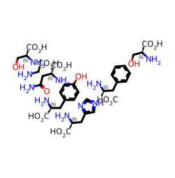 NC(=O)C[C@H](N)C(=O)O.NCC(=O)O.N[C@@H](CO)C(=O)O.N[C@@H](CO)C(=O)O.N[C@@H](Cc1c[nH]cn1)C(=O)O.N[C@@H](Cc1ccc(O)cc1)C(=O)O.N[C@@H](Cc1ccccc1)C(=O)O